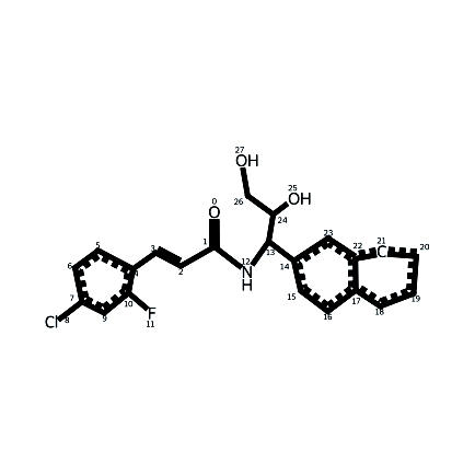 O=C(C=Cc1ccc(Cl)cc1F)NC(c1ccc2ccccc2c1)C(O)CO